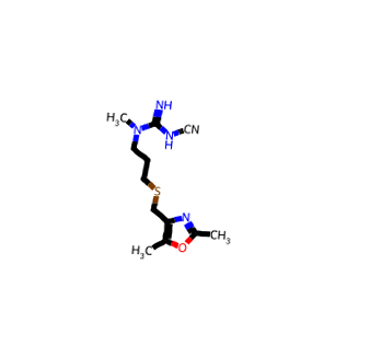 Cc1nc(CSCCCN(C)C(=N)NC#N)c(C)o1